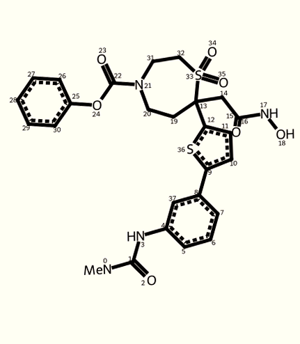 CNC(=O)Nc1cccc(-c2ccc(C3(CC(=O)NO)CCN(C(=O)Oc4ccccc4)CCS3(=O)=O)s2)c1